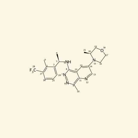 Cc1c([C@@H](C)Nc2nnc(C)c3ncc(N4CCOC[C@@H]4C)cc23)cccc1C(F)(F)F